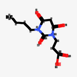 CCCCN1C(=O)CC(=O)N(CCC(=O)O)C1=O